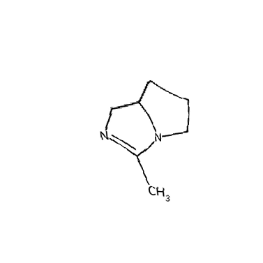 CC1=NCC2CCCN12